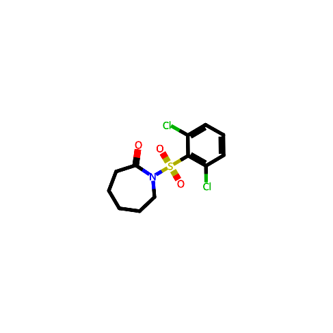 O=C1CCCCCN1S(=O)(=O)c1c(Cl)cccc1Cl